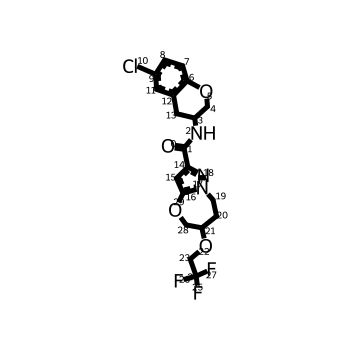 O=C(NC1COc2ccc(Cl)cc2C1)c1cc2n(n1)CCC(OCC(F)(F)F)CO2